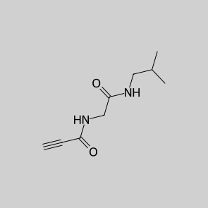 C#CC(=O)NCC(=O)NCC(C)C